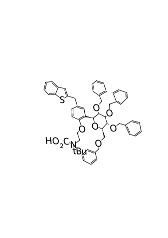 CC(C)(C)N(CCOc1ccc(Cc2cc3ccccc3s2)cc1[C@@H]1O[C@H](COCc2ccccc2)[C@@H](OCc2ccccc2)[C@H](OCc2ccccc2)[C@H]1OCc1ccccc1)C(=O)O